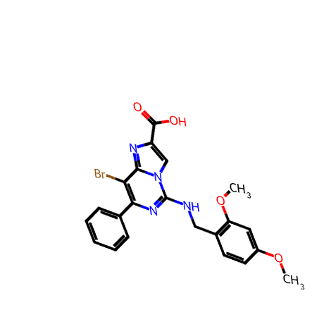 COc1ccc(CNc2nc(-c3ccccc3)c(Br)c3nc(C(=O)O)cn23)c(OC)c1